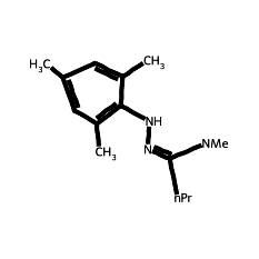 CCC/C(=N/Nc1c(C)cc(C)cc1C)NC